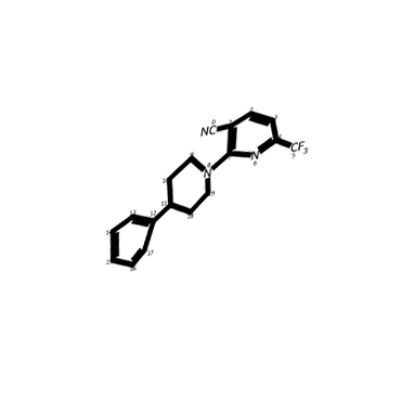 N#Cc1ccc(C(F)(F)F)nc1N1CCC(c2ccccc2)CC1